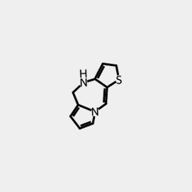 C1=C2NCc3cccn3C=C2SC1